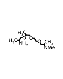 CNC(C)COCCOCC(C)OCC(C)N